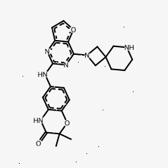 CC1(C)Oc2ccc(Nc3nc(N4CC5(CCCNC5)C4)c4occc4n3)cc2NC1=O